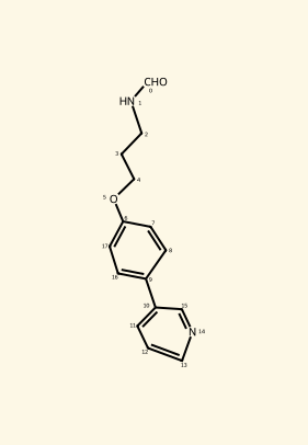 O=CNCCCOc1ccc(-c2cccnc2)cc1